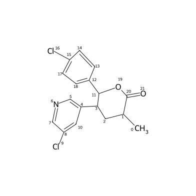 CC1CC(c2cncc(Cl)c2)C(c2ccc(Cl)cc2)OC1=O